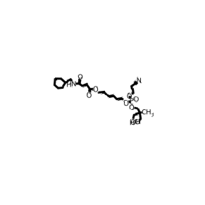 CC(CO)(CO)COP(=O)(OCCC#N)OCCCCCCOC(=O)CCC(=O)NCC1CCCCC1